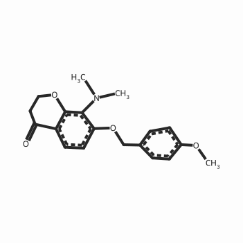 COc1ccc(COc2ccc3c(c2N(C)C)OCCC3=O)cc1